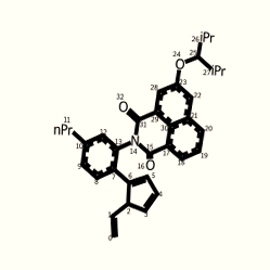 C=CC1C=CC=C1c1ccc(CCC)cc1N1C(=O)c2cccc3cc(OC(C(C)C)C(C)C)cc(c23)C1=O